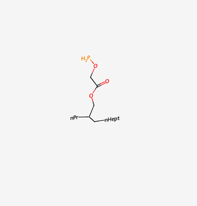 CCCCCCCCC(CCC)COC(=O)COP